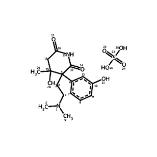 CN(C)CCC1(c2cccc(O)c2)C(=O)NC(=O)CC1(C)C.O=S(=O)(O)O